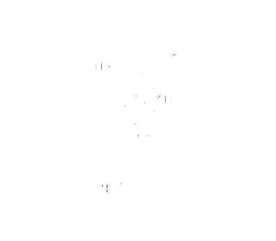 CCC1CC2C(CCC3(C)C(CCCC#N)CCC23)C2(C)CCC(=O)C=C12